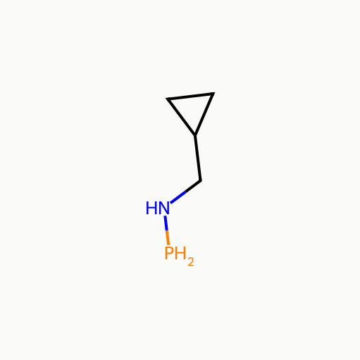 PNCC1CC1